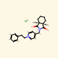 O=C1[C@H]2CCCC[C@H]2C(=O)N1Cc1cc[n+](CCc2ccccc2)cc1.[Br-]